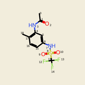 CC(=O)Nc1cc(NS(=O)(=O)C(F)(F)F)ccc1C